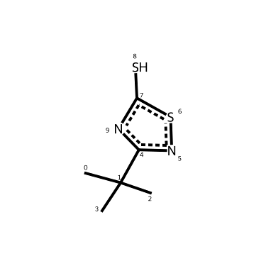 CC(C)(C)c1nsc(S)n1